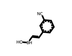 N#Cc1cccc(C=CBO)c1